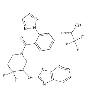 O=C(O)C(F)(F)F.O=C(c1ccccc1-n1nccn1)N1CCC(F)(F)C(Oc2nc3ccncc3s2)C1